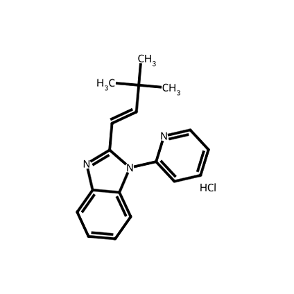 CC(C)(C)/C=C/c1nc2ccccc2n1-c1ccccn1.Cl